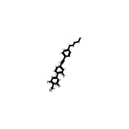 CCCCCc1ccc(C#Cc2ccc(-c3cc(F)c(C#N)c(F)c3)c(F)c2)cc1